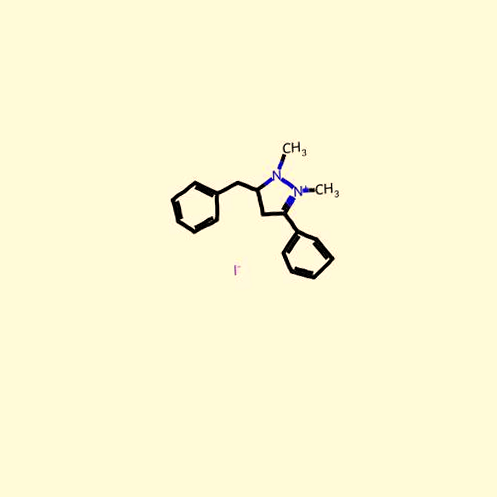 CN1C(Cc2ccccc2)CC(c2ccccc2)=[N+]1C.[I-]